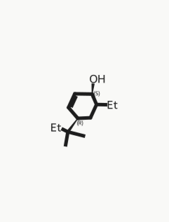 CCC1C[C@@H](C(C)(C)CC)C=C[C@H]1O